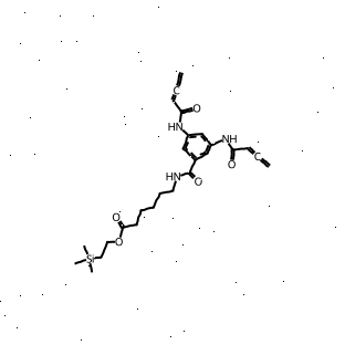 C=C=CC(=O)Nc1cc(NC(=O)C=C=C)cc(C(=O)NCCCCCC(=O)OCC[Si](C)(C)C)c1